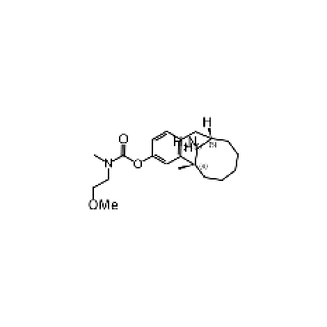 COCCN(C)C(=O)Oc1ccc2c(c1)[C@@]1(C)CCCCC[C@@H](C2)[C@@H]1N